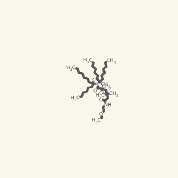 CCCCCCCC(C)(CCCCCC)N(C(=O)C(C)(C)CC(C)(C)CC(=O)NCCOCC)C(C)(CCCCCCC)CCCCCCC